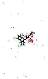 CN(c1c(C(=O)C(C)(C)C)oc2nc(-c3ccc(Cl)cc3Cl)c(-c3ccc(Cl)cc3)cc12)S(C)(=O)=O